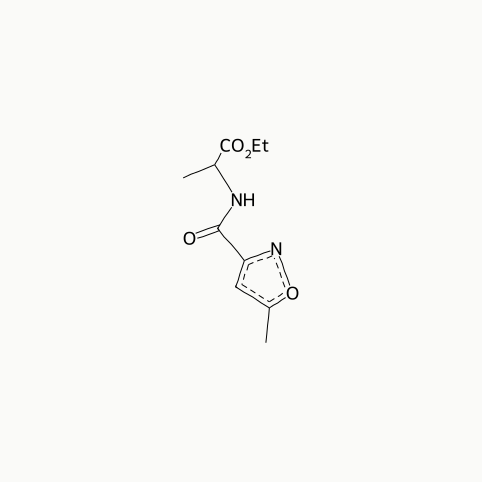 CCOC(=O)C(C)NC(=O)c1cc(C)on1